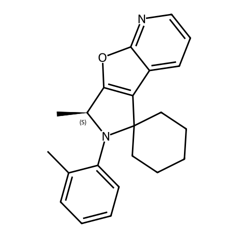 Cc1ccccc1N1[C@@H](C)c2oc3ncccc3c2C12CCCCC2